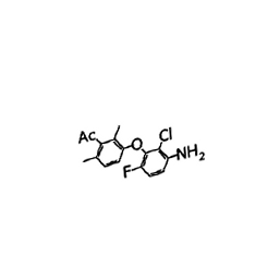 CC(=O)c1c(C)ccc(Oc2c(F)ccc(N)c2Cl)c1C